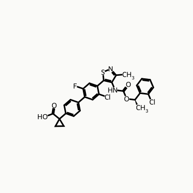 Cc1nsc(-c2cc(F)c(-c3ccc(C4(C(=O)O)CC4)cc3)cc2Cl)c1NC(=O)O[C@H](C)c1ccccc1Cl